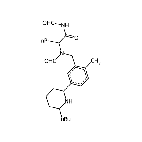 CCCCC1CCCC(c2ccc(C)c(CN(C=O)C(CCC)C(=O)NC=O)c2)N1